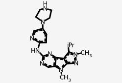 CC(C)c1c2c3nc(Nc4ccc(N5CCNCC5)cn4)ncc3n(C)c2nn1C